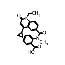 CCn1c(=O)cc(C2CC2)c2cc(C(=O)N(C)c3ccccc3C(=O)O)ccc21